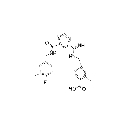 Cc1cc(CNC(=O)c2cc(C(=N)NCc3ccc(C(=O)O)c(C)c3)ncn2)ccc1F